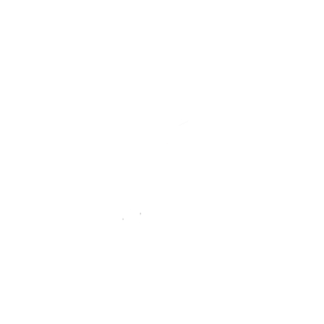 FC(F)(F)/C(Cl)=C/COCCCCCOc1ccccc1